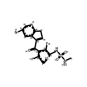 CCN(C)S(=O)(=O)Nc1ccc(F)c(C(=O)C2=CCc3ncc(Br)cc32)c1F